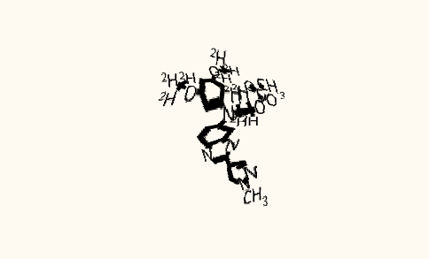 [2H]C([2H])([2H])Oc1cc(OC([2H])([2H])[2H])cc(N(c2ccc3ncc(-c4cnn(C)c4)nc3c2)C([2H])([2H])C([2H])([2H])OS(C)(=O)=O)c1